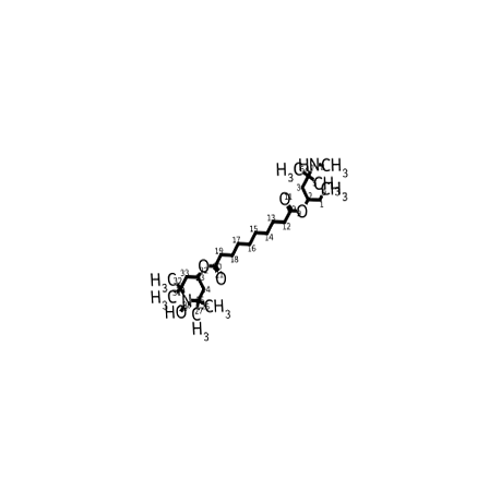 CCC(CC(C)(C)NC)OC(=O)CCCCCCCCC(=O)OC1CC(C)(C)N(O)C(C)(C)C1